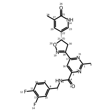 Cc1nc(C(=O)NCc2ccc(F)c(F)c2)cc(C2=NO[C@H](c3c[nH]c(=O)c(C)c3)C2)n1